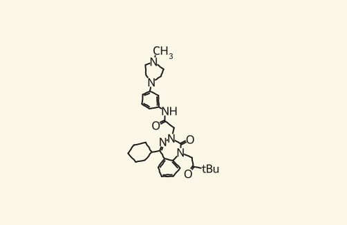 CN1CCN(c2cccc(NC(=O)CN3N=C(C4CCCCC4)c4ccccc4N(CC(=O)C(C)(C)C)C3=O)c2)CC1